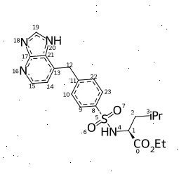 CCOC(=O)[C@H](CC(C)C)NS(=O)(=O)c1ccc(Cc2ccnc3nc[nH]c23)cc1